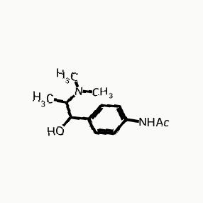 CC(=O)Nc1ccc(C(O)C(C)N(C)C)cc1